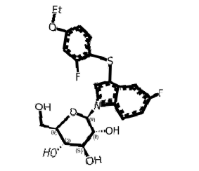 CCOc1ccc(Sc2cn([C@@H]3O[C@H](CO)[C@@H](O)[C@H](O)[C@H]3O)c3ccc(F)cc23)c(F)c1